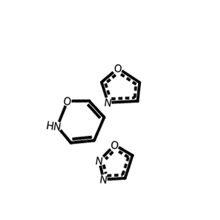 C1=CNOC=C1.c1cocn1.c1conn1